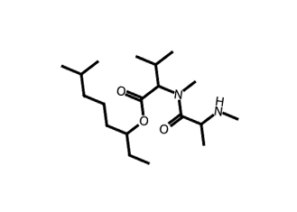 CCC(CCCC(C)C)OC(=O)C(C(C)C)N(C)C(=O)C(C)NC